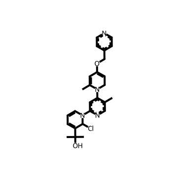 CC1=CC(OCc2ccncc2)=CCN1c1cc(N2C=CC=C(C(C)(C)O)C2Cl)ncc1C